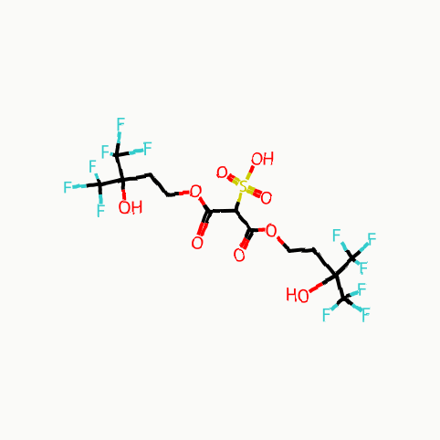 O=C(OCCC(O)(C(F)(F)F)C(F)(F)F)C(C(=O)OCCC(O)(C(F)(F)F)C(F)(F)F)S(=O)(=O)O